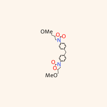 COCC1CN(c2ccc(Cc3ccc(N4CC(COC)OC4=O)cc3)cc2)C(=O)O1